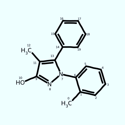 Cc1ccccc1-n1nc(O)c(C)c1-c1ccccc1